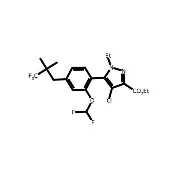 CCOC(=O)c1nn(CC)c(-c2ccc(CC(C)(C)C(F)(F)F)cc2OC(F)F)c1Cl